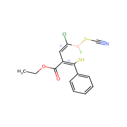 CCOC(=O)C(/C=C(/Cl)B(F)SC#N)=C(/S)c1ccccc1